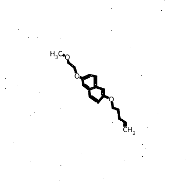 C=CCCCOc1ccc2cc(OCCOC)ccc2c1